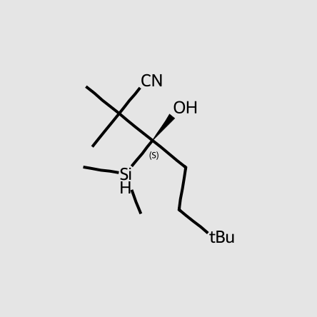 C[SiH](C)[C@@](O)(CCC(C)(C)C)C(C)(C)C#N